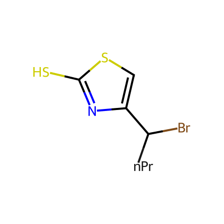 CCCC(Br)c1csc(S)n1